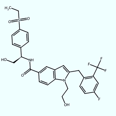 CCS(=O)(=O)c1ccc([C@H](CO)NC(=O)c2ccc3c(c2)cc(Cc2ccc(F)cc2C(F)(F)F)n3CCO)cc1